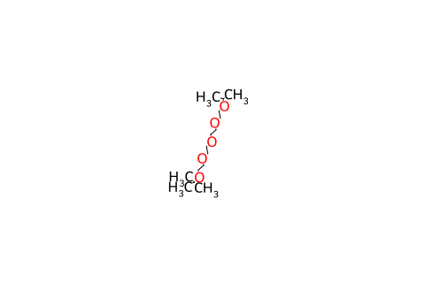 CC(C)OCCOCCOCCOCCOC(C)(C)C